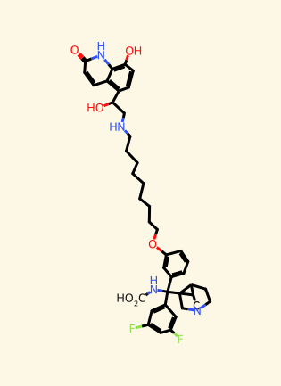 O=C(O)NC(c1cc(F)cc(F)c1)(c1cccc(OCCCCCCCCCNCC(O)c2ccc(O)c3[nH]c(=O)ccc23)c1)C1CN2CCC1CC2